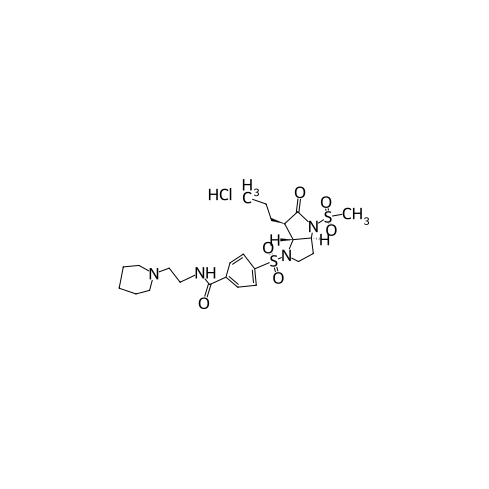 CCC[C@H]1C(=O)N(S(C)(=O)=O)[C@H]2CCN(S(=O)(=O)c3ccc(C(=O)NCCN4CCCCC4)cc3)[C@H]12.Cl